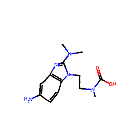 CN(CCn1c(N(C)C)nc2cc(N)ccc21)C(=O)O